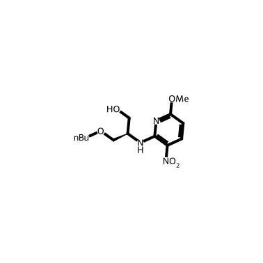 CCCCOC[C@@H](CO)Nc1nc(OC)ccc1[N+](=O)[O-]